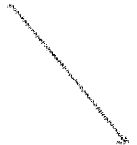 COS(=S)(=S)SSSSSSSSSSSSSSSSSSSSSSSSSSSSSSSSSSSSSSSSSSSSSSSSSSSSSSSSSSSSSSSSSSSSSSSSSSSSSSSSSSS